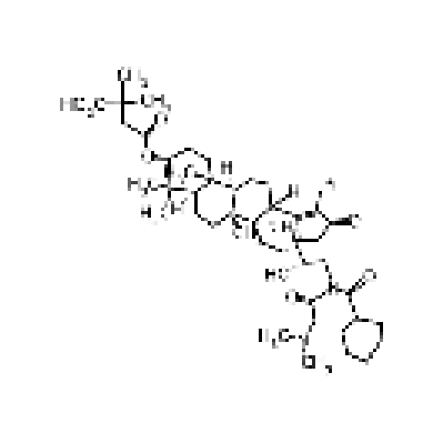 CC(C)C1=C2[C@H]3CC[C@@H]4[C@@]5(C)CC[C@H](OC(=O)CC(C)(C)C(=O)O)C(C)(C)[C@@H]5CC[C@@]4(C)[C@]3(C)CC[C@@]2([C@@H](O)CN(C(=O)CN(C)C)C(=O)C2CCCCC2)CC1=O